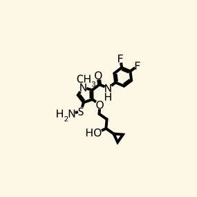 Cn1cc(SN)c(OCCC(O)C2CC2)c1C(=O)Nc1ccc(F)c(F)c1